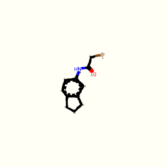 O=C(CBr)Nc1ccc2c(c1)CCC2